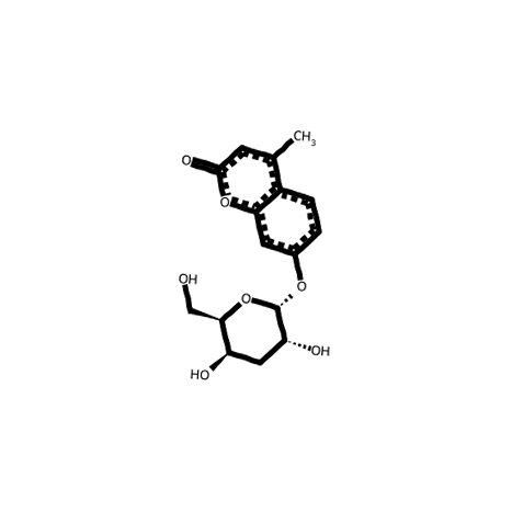 Cc1cc(=O)oc2cc(O[C@H]3O[C@H](CO)[C@H](O)C[C@H]3O)ccc12